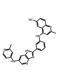 Cc1cc(Nc2cnc3nc(-c4cccc(Nc5cc(C)nc6ccc(C#N)cc56)c4)[nH]c3c2)ccn1